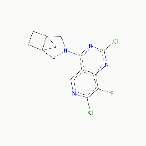 Fc1c(Cl)ncc2c(N3CC45CCC4(C3)C5)nc(Cl)nc12